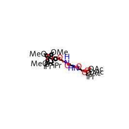 C#CCCCC(CCC1(CCC(c2ccc(OC)cc2)(c2ccc(OC)cc2)c2ccc(OC)cc2)CCC(C(=O)CCCCCNC(=O)CCCCCNC(=O)CCCCO[C@H](O[C@H](COC(C)=O)[C@@H](C)OC(C)=O)[C@H](CC(C)C)OC(C)=O)CC1)C(C(C)C)C(C)C